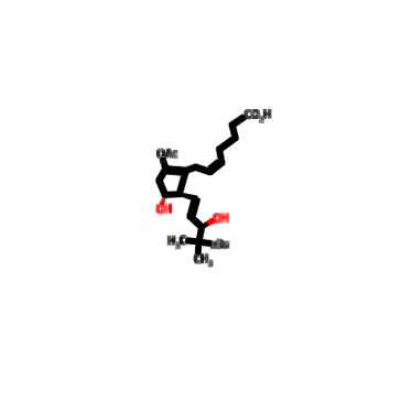 CCCCC(C)(C)[C@H](O)/C=C/[C@@H]1C(C/C=C\CCCC(=O)O)=C(OC(C)=O)C[C@H]1O